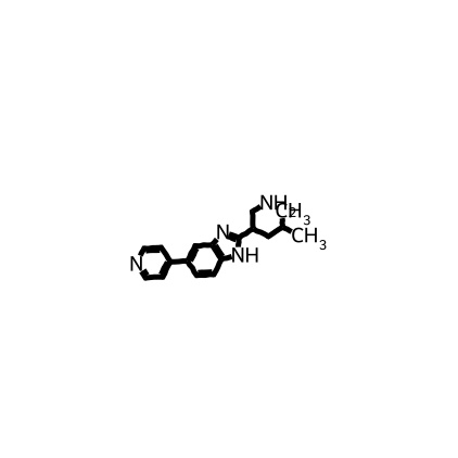 CC(C)CC(CN)c1nc2cc(-c3ccncc3)ccc2[nH]1